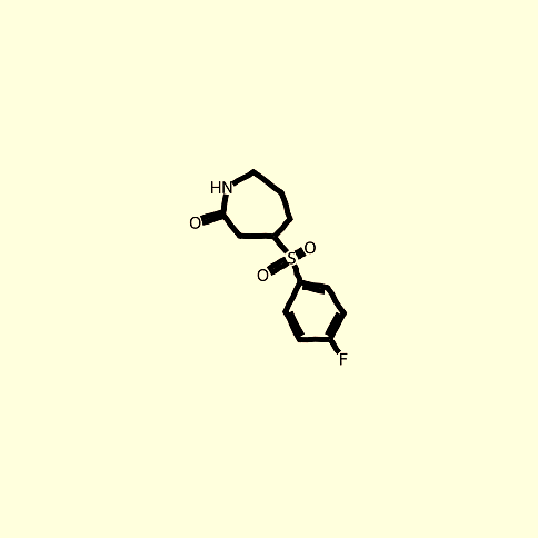 O=C1CC(S(=O)(=O)c2ccc(F)cc2)CCCN1